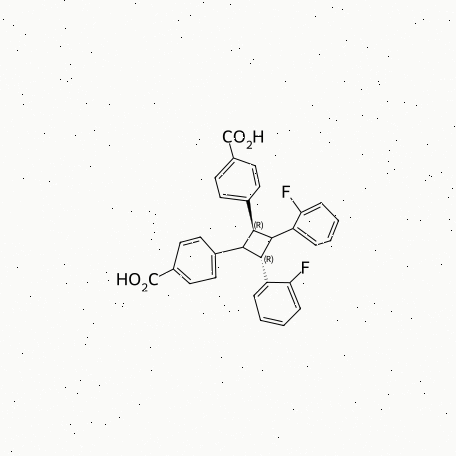 O=C(O)c1ccc(C2[C@@H](c3ccc(C(=O)O)cc3)C(c3ccccc3F)[C@@H]2c2ccccc2F)cc1